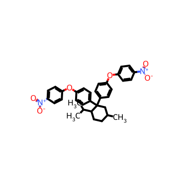 CC1CCC(C(C)C)C(c2ccc(Oc3ccc([N+](=O)[O-])cc3)cc2)(c2ccc(Oc3ccc([N+](=O)[O-])cc3)cc2)C1